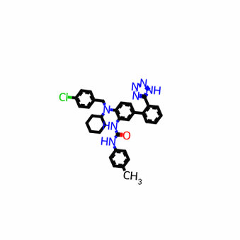 Cc1ccc(NC(=O)Nc2cc(-c3ccccc3-c3nnn[nH]3)ccc2N(Cc2ccc(Cl)cc2)C2CCCCC2)cc1